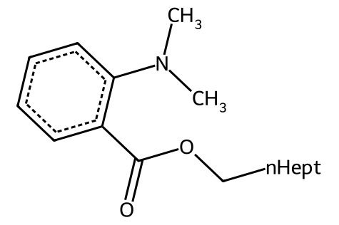 CCCCCCCCOC(=O)c1ccccc1N(C)C